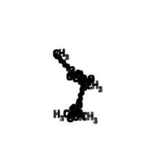 CCCCCCCCOC(=O)[C@H]1CCc2cc(C(C)=O)c(OCCCCCOc3ccc(C(C)=O)c(O)c3CCC)cc2O1